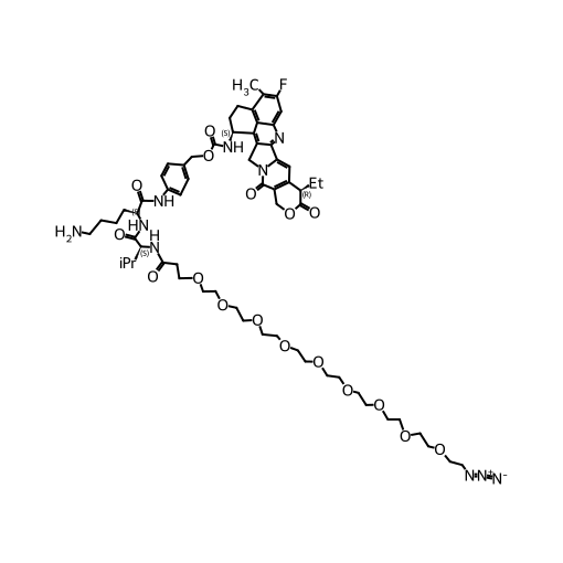 CC[C@H]1C(=O)OCc2c1cc1n(c2=O)Cc2c-1nc1cc(F)c(C)c3c1c2[C@@H](NC(=O)OCc1ccc(NC(=O)[C@H](CCCCN)NC(=O)[C@@H](NC(=O)CCOCCOCCOCCOCCOCCOCCOCCOCCOCCN=[N+]=[N-])C(C)C)cc1)CC3